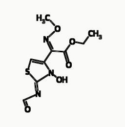 CCOC(=O)C(=NOC)c1csc(=NC=O)n1O